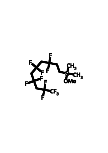 CO[Si](C)(C)CCC(F)(F)CC(F)(F)CC(F)(F)CC(F)(F)C(F)(F)F